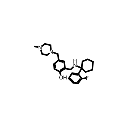 CN1CCN(Cc2ccc(O)c(CNC3(c4ccccc4F)CCCCC3)c2)CC1